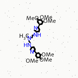 COc1cc(-c2ccc(NCCN(C)CCNc3ccc(-c4cc(OC)c(OC)c(OC)c4)nc3)cn2)cc(OC)c1OC